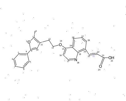 Cc1oc(-c2ccccc2)cc1CCOc1ccnc2c(/C=C/C(=O)O)cccc12